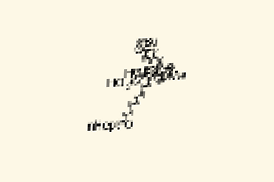 CCCCCCCC(=O)CCCCCCC=C[C@H](C(=O)N[C@@H](Cc1ccc(OCCCC)cc1)C(=O)OC)[C@@](O)(CC(=O)O)C(=O)O